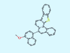 COc1ccc(-c2cc3ccccc3c3c2ccc2c4ccccc4sc23)c2ccccc12